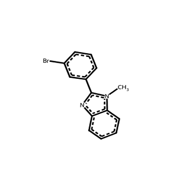 Cn1c(-c2cccc(Br)c2)nc2ccccc21